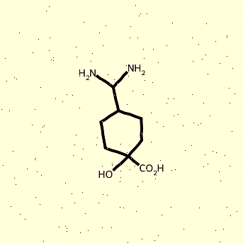 NC(N)C1CCC(O)(C(=O)O)CC1